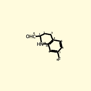 O=CC1CCc2ccc(F)cc2N1